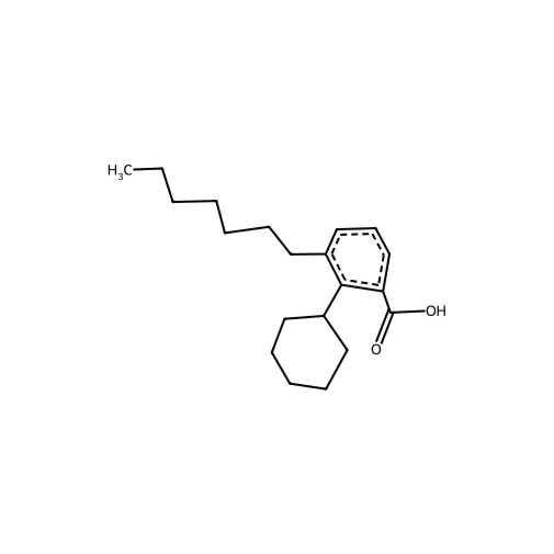 CCCCCCCc1cccc(C(=O)O)c1C1CCCCC1